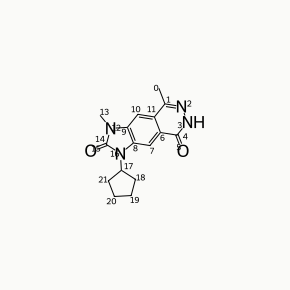 Cc1n[nH]c(=O)c2cc3c(cc12)n(C)c(=O)n3C1CCCC1